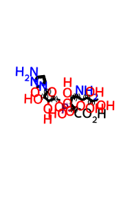 Nc1ccn([C@@H]2O[C@H](COP(=O)(O)O[C@@]3(C(=O)O)C[C@@H](O)[C@@H](N)C([C@H](O)[C@H](O)CO)O3)C(O)[C@@H]2O)c(=O)n1